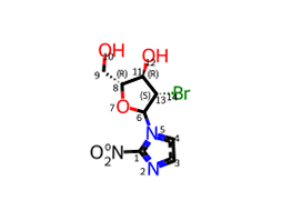 O=[N+]([O-])c1nccn1C1O[C@H](CO)[C@@H](O)[C@@H]1Br